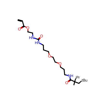 C=CC(=O)OCCNC(=O)NCCCOCCOCCCNC(=O)C(C)(CC(C)(C)C)C(C)C